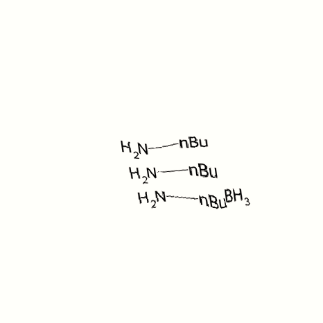 B.CCCCN.CCCCN.CCCCN